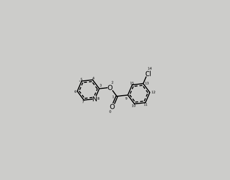 O=C(Oc1c[c]ccn1)c1cccc(Cl)c1